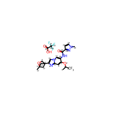 CC(Oc1cc2nc(C34COC(C)(C3)C4)cn2cc1NC(=O)c1ccn(C)n1)C(F)(F)F.O=C(O)C(F)(F)F